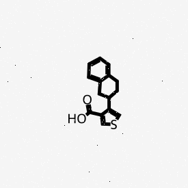 O=C(O)c1cscc1C1CCc2ccccc2C1